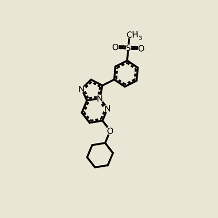 CS(=O)(=O)c1cccc(-c2cnc3ccc(OC4CCCCC4)nn23)c1